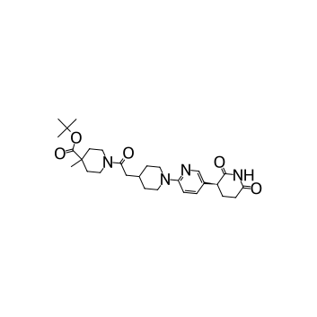 CC(C)(C)OC(=O)C1(C)CCN(C(=O)CC2CCN(c3ccc([C@@H]4CCC(=O)NC4=O)cn3)CC2)CC1